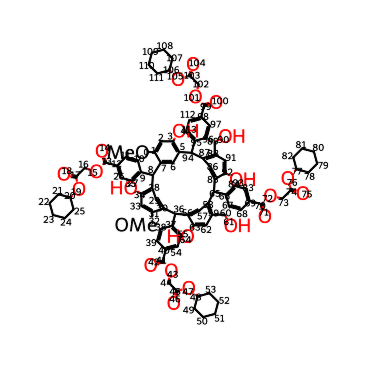 COc1cc(O)c2cc1C(c1ccc(C(=O)OCC(=O)OC3CCCCC3)cc1)c1cc(c(OC)cc1O)C(c1ccc(C(=O)OCC(=O)OC3CCCCC3)cc1)c1cc(c(CO)cc1O)C(c1ccc(C(=O)OCC(=O)OC3CCCCC3)cc1)c1cc(c(CO)cc1O)C2c1ccc(C(=O)OCC(=O)OC2CCCCC2)cc1